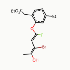 CCOC(=O)Cc1ccc(CC)cc1OC(F)=C/C(Br)=C(\C)O